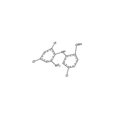 COc1ccc(Cl)cc1Nc1c(Cl)cc(Cl)cc1[N+](=O)[O-]